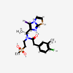 CCS(=O)(=O)CCN(C(=O)Cc1ccc(F)c(C(F)(F)F)c1)[C@H](C)c1nc2sccn2c1I